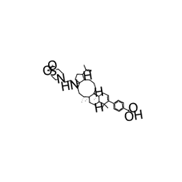 C=C(C)C1CCC2(NCCN3CCS(=O)(=O)CC3)CC[C@@H](C)[C@]3(C)CC[C@H]4C(C)(C)C(c5ccc(C(=O)O)cc5)=CC[C@]4(C)[C@H]3CCC[C@@H]12